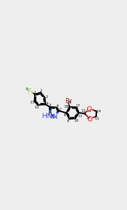 Fc1ccc(-c2cc(-c3ccc(C4OCCO4)cc3Br)n[nH]2)cc1